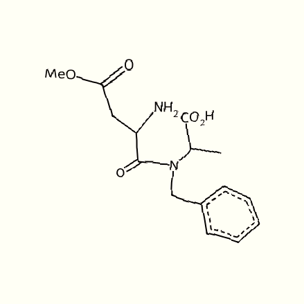 COC(=O)CC(N)C(=O)N(Cc1ccccc1)C(C)C(=O)O